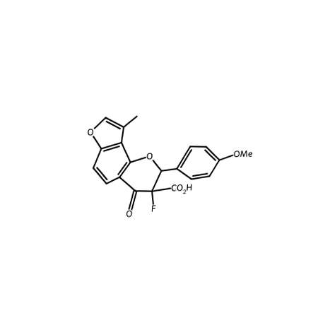 COc1ccc(C2Oc3c(ccc4occ(C)c34)C(=O)C2(F)C(=O)O)cc1